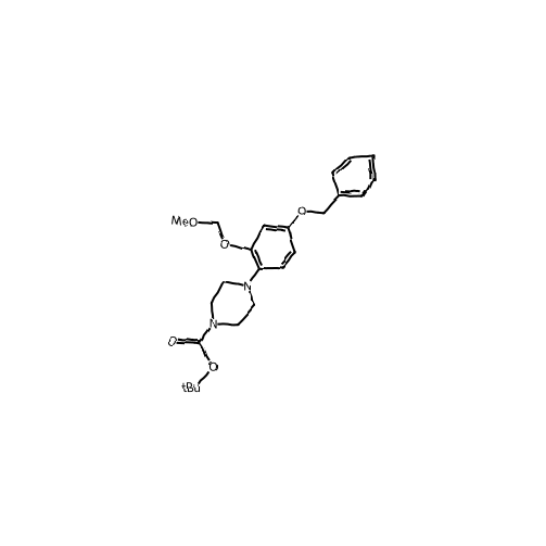 COCOc1cc(OCc2ccccc2)ccc1N1CCN(C(=O)OC(C)(C)C)CC1